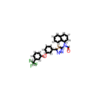 O=CN(c1nnc(-c2cccc(Oc3cccc(C(F)(F)F)c3)c2)s1)c1cccc2ccccc12